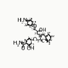 CC(COc1ccc(C(N)=O)c(O)c1)N(Cc1ccccc1)CC(O)COc1ccc(N)cc1